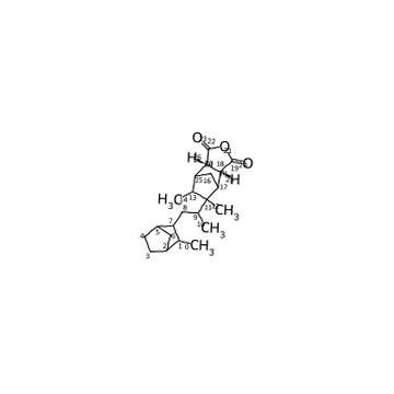 CC1C2CCC(C2)C1CC(C)C1(C)C(C)C2CC1[C@H]1C(=O)OC(=O)[C@@H]21